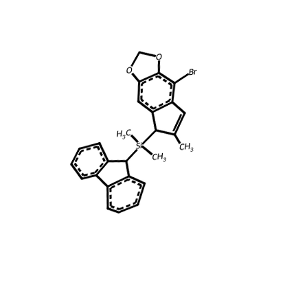 CC1=Cc2c(cc3c(c2Br)OCO3)C1[Si](C)(C)C1c2ccccc2-c2ccccc21